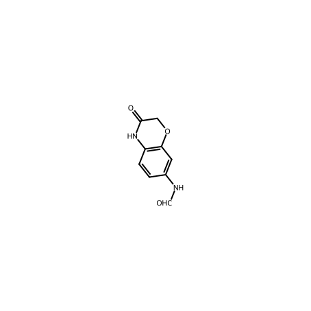 O=CNc1ccc2c(c1)OCC(=O)N2